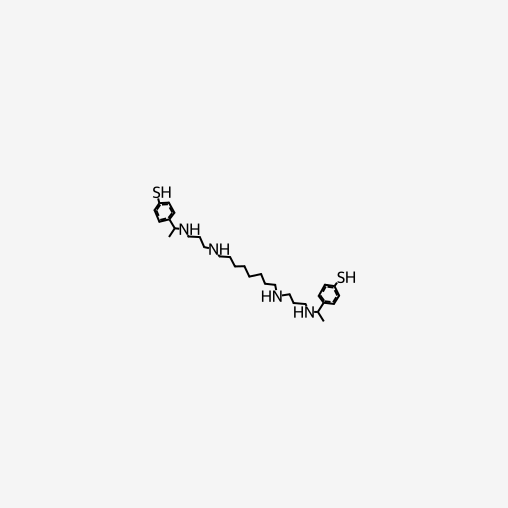 CC(NCCCNCCCCCCCCNCCCNC(C)c1ccc(S)cc1)c1ccc(S)cc1